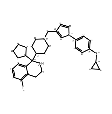 Fc1cccc2c1CCNC2(C1CCCC1)C1CCN(Cc2ccn(-c3ccc(SC4CC4)cc3)c2)CC1